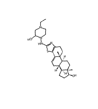 CCN1CCN(Nc2nc3c(s2)C2=CC[C@H]4[C@@H]5CC[C@H](O)[C@@]5(C)CC[C@@H]4[C@@]2(C)CC3)C(O)C1